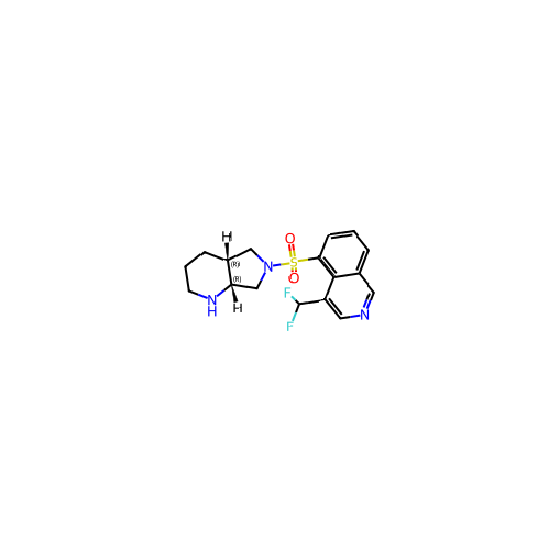 O=S(=O)(c1cccc2cncc(C(F)F)c12)N1C[C@H]2CCCN[C@H]2C1